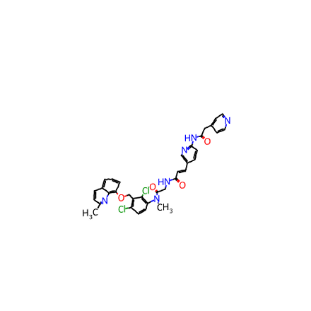 Cc1ccc2cccc(OCc3c(Cl)ccc(N(C)C(=O)CNC(=O)C=Cc4ccc(NC(=O)Cc5ccncc5)nc4)c3Cl)c2n1